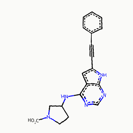 O=C(O)N1CCC(Nc2ncnc3[nH]c(C#Cc4ccccc4)cc23)C1